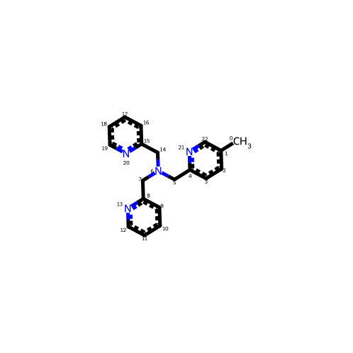 Cc1ccc(CN(Cc2ccccn2)Cc2ccccn2)nc1